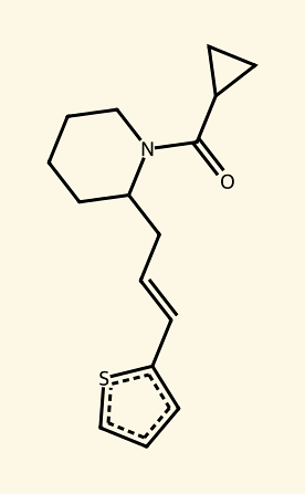 O=C(C1CC1)N1CCCCC1CC=Cc1cccs1